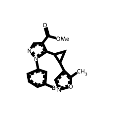 COC(=O)c1cnn(-c2cccc(Br)c2)c1C1CC1c1cnoc1C